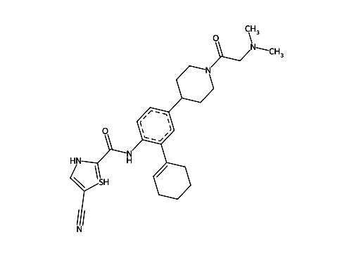 CN(C)CC(=O)N1CCC(c2ccc(NC(=O)C3=[SH]C(C#N)=CN3)c(C3=CCCCC3)c2)CC1